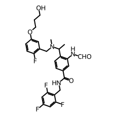 CC(c1ccc(C(=O)NCc2c(F)cc(F)cc2F)cc1NC=O)N(C)Cc1cc(OCCCO)ccc1F